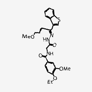 CCOc1ccc(C(=O)NCC(=O)N/N=C(\CCCOC)c2csc3ccccc23)cc1OC